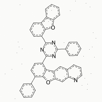 c1ccc(-c2nc(-c3cccc4c3oc3ccccc34)nc(-c3ccc(-c4ccccc4)c4oc5cc6ncccc6cc5c34)n2)cc1